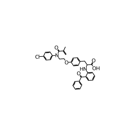 C=C(C)C(=O)N(CCOc1ccc(CC(Nc2ccccc2C(=O)c2ccccc2)C(=O)O)cc1)c1ccc(Cl)cc1